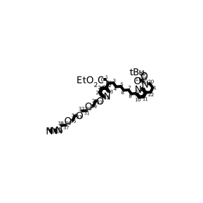 CCOC(=O)C[C@@H](CCCCCCc1ccc2c(n1)N(C(=O)OC(C)(C)C)CCC2)c1ccc(OCCOCCOCCOCCN=[N+]=[N-])nc1